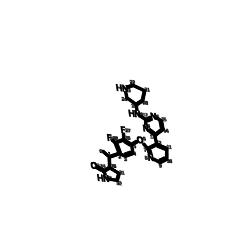 CC(c1ccc(Oc2ncccc2-c2ccnc(NC3CCCNC3)n2)c(F)c1F)C1CCNC1=O